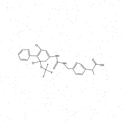 CC(C(=O)O)c1ccc(CNC(=O)NC2=CC(Cl)=C(c3ccccc3)C(Cl)(OC(F)(F)F)C2)cc1